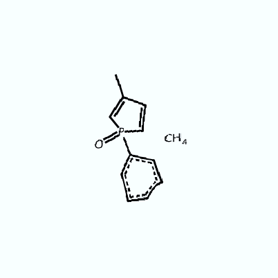 C.CC1=CP(=O)(c2ccccc2)C=C1